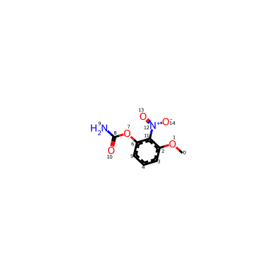 COc1cccc(OC(N)=O)c1[N+](=O)[O-]